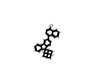 Clc1ccc(-c2ccc3c(c2)-c2ccccc2C32C3CC4CC5CC2C453)c2ccccc12